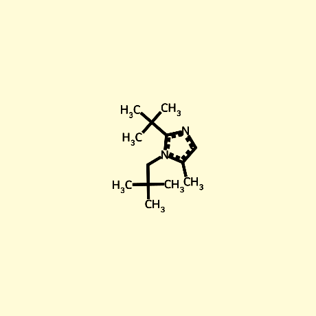 Cc1cnc(C(C)(C)C)n1CC(C)(C)C